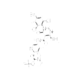 CCN(Cc1cncc(NC(=O)c2c(N)ncn(-c3c(Cl)cc(Br)cc3Cl)c2=O)c1)C(=O)OC(C)(C)C